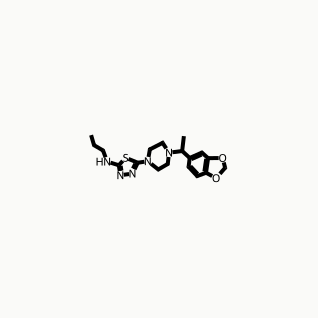 CCCNc1nnc(N2CCN(C(C)c3ccc4c(c3)OCO4)CC2)s1